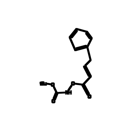 CC(C)(C)OC(=O)NOC(=O)C=CCc1ccccc1